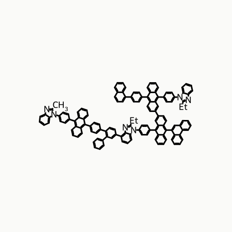 CCc1nc2ccccc2n1-c1ccc(-c2c3ccccc3c(-c3ccc(-c4cccc5ccccc45)cc3)c3ccc(-c4ccc5c(-c6cc7ccccc7c7ccccc67)c6ccccc6c(-c6ccc(-n7c(CC)nc8c(-c9ccc(-c%10ccc(-c%11c%12ccccc%12c(-c%12ccc(-n%13c(C)nc%14ccccc%14%13)cc%12)c%12ccccc%11%12)cc%10)c(-c%10ccccc%10)c9)cccc87)cc6)c5c4)cc23)cc1